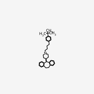 CC(C)(C)c1ccc(CCCCN2CCC(=C3c4ccccc4CCc4ccccc43)CC2)cc1